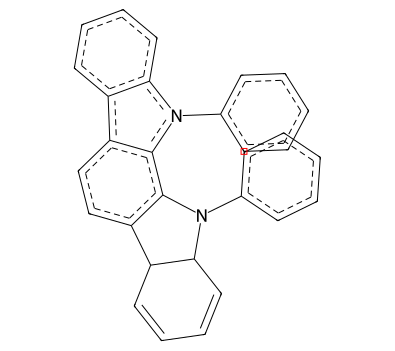 C1=CC2c3ccc4c5ccccc5n(-c5ccccc5)c4c3N(c3ccccc3)C2C=C1